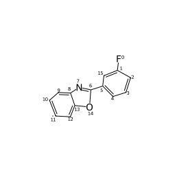 Fc1cccc(-c2nc3cc[c]cc3o2)c1